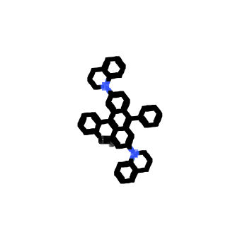 Cc1ccccc1-c1c2ccc(N3CCCc4ccccc43)cc2c(-c2ccccc2)c2ccc(N3CCCc4ccccc43)cc12